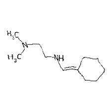 CN(C)CCNC=C1CCCCC1